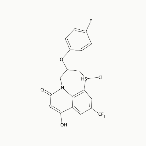 O=c1nc(O)c2cc(C(F)(F)F)cc3c2n1CC(Oc1ccc(F)cc1)C[SH]3Cl